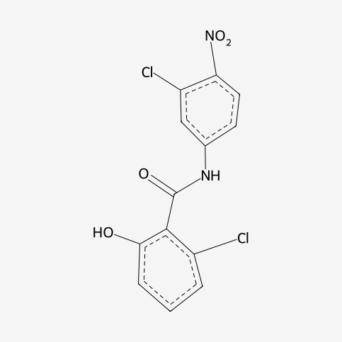 O=C(Nc1ccc([N+](=O)[O-])c(Cl)c1)c1c(O)cccc1Cl